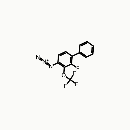 [N-]=[N+]=Nc1ccc(-c2ccccc2)c(F)c1OC(F)(F)F